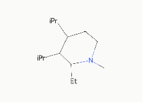 CCC1C(C(C)C)C(C(C)C)CCN1C